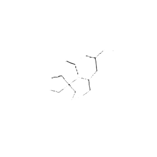 CC(C)CC(CO)N(CO)C(CO)(CO)CO